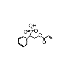 C=CC(=O)OCC(c1ccccc1)S(=O)(=O)O